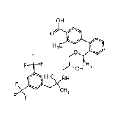 Cc1cc(-c2ccccc2[C@@H](C)OC[C@H](O)CNC(C)(C)Cc2cc(C(F)(F)F)cc(C(F)(F)F)c2)ccc1C(=O)O